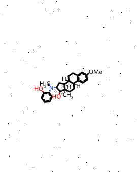 COc1ccc2c(c1)CC[C@@H]1[C@@H]2CC[C@@]2(C)[C@@H](O)[C@H](N(C)c3ccccc3O)C[C@@H]12